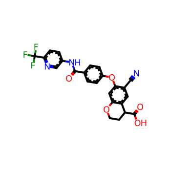 N#Cc1cc2c(cc1Oc1ccc(C(=O)Nc3ccc(C(F)(F)F)nc3)cc1)OCCC2C(=O)O